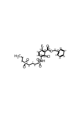 CCCS(=O)(=O)CCCS(=O)(=O)Nc1ccc(F)c(C(=O)OCc2ccccc2)c1Cl